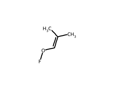 CC(C)=COF